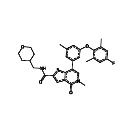 Cc1cc(Oc2c(C)cc(F)cc2C)cc(-c2cn(C)c(=O)c3cc(C(=O)NCC4CCOCC4)sc23)c1